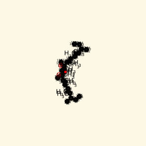 CC1(C)c2cc(-c3cc(-c4ccccc4)cc(-c4cccc(-c5ccccc5)c4)c3)ccc2-c2ccc(-c3ccc4c(c3)C(C)(C)c3cc(-c5cc6c(c7oc8ccccc8c57)-c5ccc7c(c5C6(C)C)C(C)(C)c5cc(-c6ccc8c(c6)C(C)(C)c6cc(-c9ccc%10c(c9)C(C)(C)c9cc(-c%11cc(-c%12ccccc%12)cc(-c%12cccc(-c%13ccccc%13)c%12)c%11)ccc9-%10)ccc6-8)c6c(oc8ccccc86)c5-7)ccc3-4)cc21